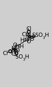 O=C(NCCCCCCNC(=O)c1nn(-c2ccc(Cl)cc2Cl)c2c1oc1cc(S(=O)(=O)O)sc12)c1nn(-c2ccc(Cl)cc2Cl)c2c1oc1cc(S(=O)(=O)O)sc12